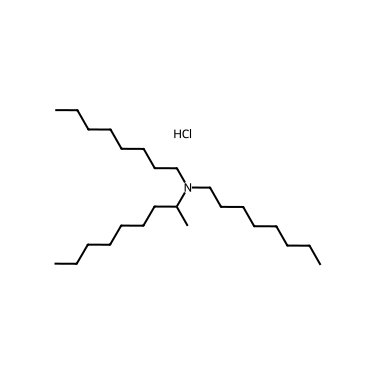 CCCCCCCCN(CCCCCCCC)C(C)CCCCCCC.Cl